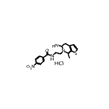 CCCC1Cc2ccsc2C(C)N1CCNC(=O)c1ccc([N+](=O)[O-])cc1.Cl